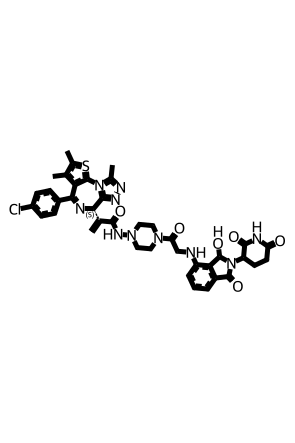 C=C(C(=O)NN1CCN(C(=O)CNc2cccc3c2C(O)N(C2CCC(=O)NC2=O)C3=O)CC1)[C@@H]1N=C(c2ccc(Cl)cc2)c2c(sc(C)c2C)-n2c(C)nnc21